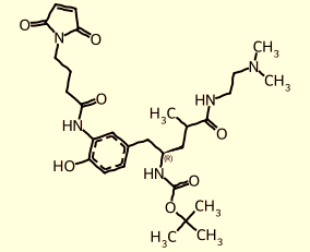 CC(C[C@H](Cc1ccc(O)c(NC(=O)CCCN2C(=O)C=CC2=O)c1)NC(=O)OC(C)(C)C)C(=O)NCCN(C)C